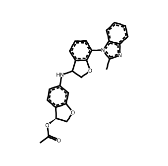 CC(=O)O[C@@H]1COc2cc(NC3COc4c3cccc4-n3c(C)nc4ccccc43)ccc21